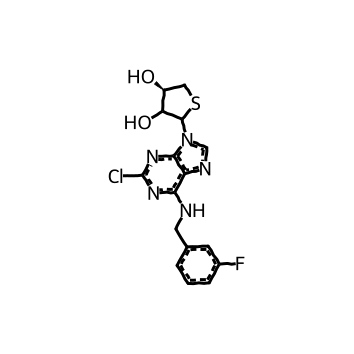 OC1C(n2cnc3c(NCc4cccc(F)c4)nc(Cl)nc32)SC[C@@H]1O